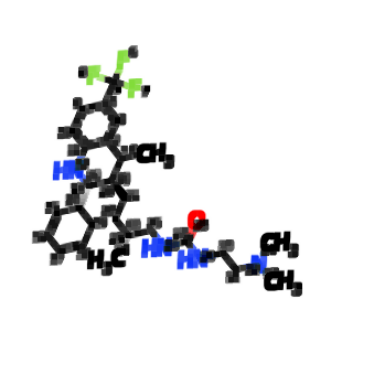 CC1c2cc(C(F)(F)F)ccc2N[C@@H](C2C=CC=CC2)[C@@H]1CC[C@@H](C)CNC(=O)NCCN(C)C